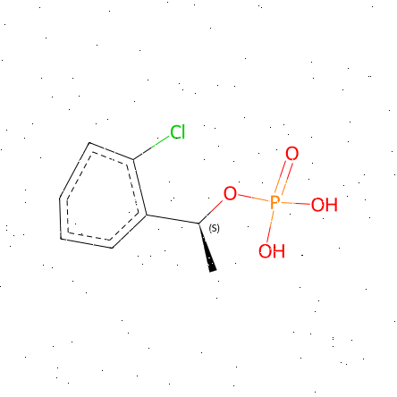 C[C@H](OP(=O)(O)O)c1ccccc1Cl